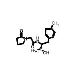 Cc1ccc(CC(NC(=O)CN2CCCC2=O)B(O)O)cc1